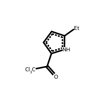 CCc1ccc(C(=O)C(Cl)(Cl)Cl)[nH]1